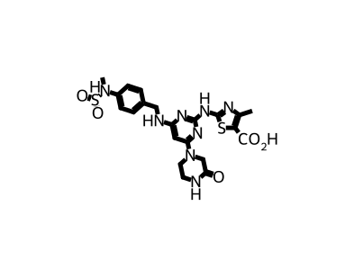 Cc1nc(Nc2nc(NCc3ccc(N(C)[SH](=O)=O)cc3)cc(N3CCNC(=O)C3)n2)sc1C(=O)O